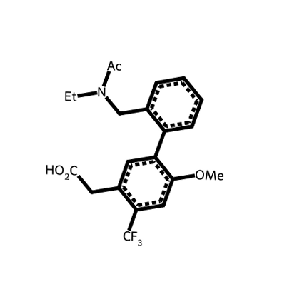 CCN(Cc1ccccc1-c1cc(CC(=O)O)c(C(F)(F)F)cc1OC)C(C)=O